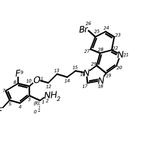 C[C@@H](N)c1cc(F)cc(F)c1OCCCCn1cnc2cnc3ccc(Br)cc3c21